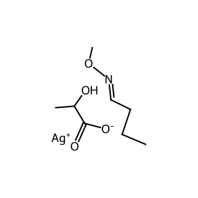 CC(O)C(=O)[O-].CCC/C=N/OC.[Ag+]